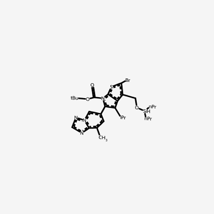 CCC[SiH](CCC)OCc1c(Br)sc2c1c(C(C)C)c(-c1cc(C)c3ncnn3c1)n2C(=O)OC(C)(C)C